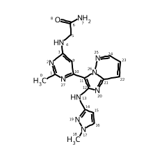 Cc1nc(NCC(N)=O)cc(-c2c(Nc3ccn(C)n3)nc3cccnn23)n1